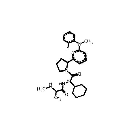 CNC(C)C(=O)N[C@H](C(=O)N1CCCC1c1cccc(N(C)c2ccccc2F)n1)C1CCCCC1